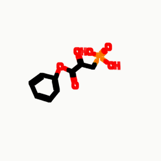 O=C(CP(=O)(O)O)C(=O)Oc1ccccc1